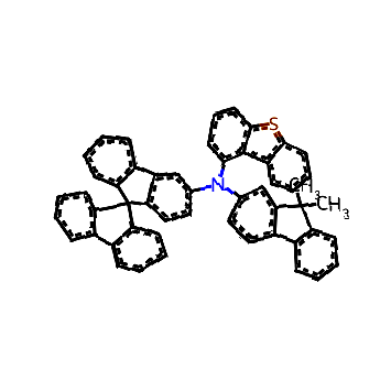 CC1(C)c2ccccc2-c2ccc(N(c3ccc4c(c3)-c3ccccc3C43c4ccccc4-c4ccccc43)c3cccc4sc5ccccc5c34)cc21